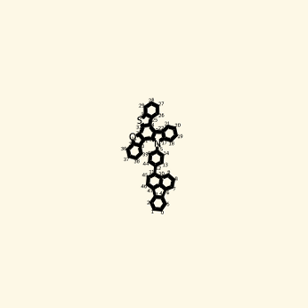 c1ccc2c(c1)-c1cccc3c(-c4ccc(-n5c6ccccc6c6c7c8ccccc8sc7c7oc8ccccc8c7c65)cc4)ccc-2c13